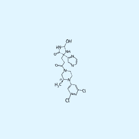 C[C@H]1CN(C(=O)CCC2(c3cnccn3)NC(O)NC2=O)CCN1c1cc(Cl)cc(Cl)c1